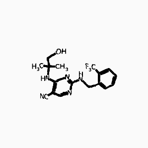 CC(C)(CO)Nc1nc(NCc2ccccc2C(F)(F)F)ncc1C#N